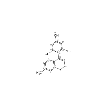 Cc1ccc2c(c1)CCC=C2c1c(F)cc(O)cc1F